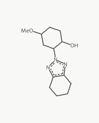 COC1CCC(O)C(n2nc3c(n2)CCCC3)C1